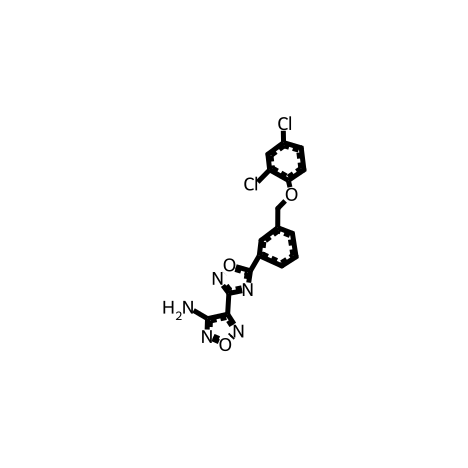 Nc1nonc1-c1noc(-c2cccc(COc3ccc(Cl)cc3Cl)c2)n1